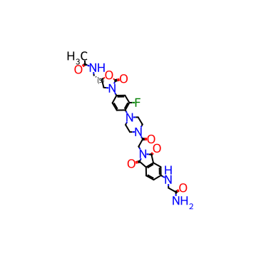 CC(=O)NC[C@H]1CN(c2ccc(N3CCN(C(=O)CN4C(=O)c5ccc(NCC(N)=O)cc5C4=O)CC3)c(F)c2)C(=O)O1